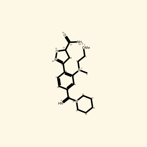 COCCN(C)c1cc(C(=N)N2CCCCC2)ccc1C1=NOC(C(N)=O)C1